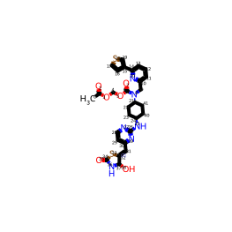 CC(=O)OCOC(=O)N(Cc1cccc(-c2ccsc2)n1)[C@H]1CC[C@H](Nc2nccc(/C=C3\SC(=O)NC3O)n2)CC1